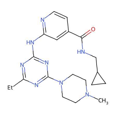 CCc1nc(Nc2cc(C(=O)NCC3CC3)ccn2)nc(N2CCN(C)CC2)n1